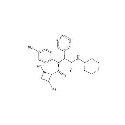 CC(C)(C)c1ccc(N(C(=O)C2C(O)CN2C#N)C(C(=O)NC2CCCCC2)c2cccnc2)cc1